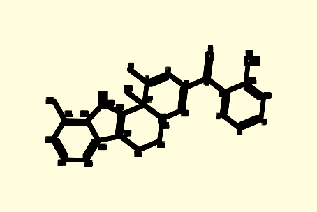 CC1=CC(C(=O)c2ccccc2O)=CN2CCc3c([nH]c4c(C)cccc34)C12C